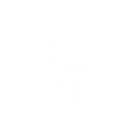 CC(C)(CCn1cc(F)c(-c2ccc3c(c2)OC(F)(F)O3)cc1=O)C(=O)NO